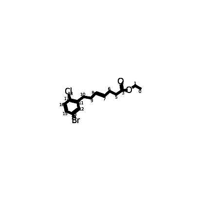 CCOC(=O)CC/C=C/CCc1cc(Br)ccc1Cl